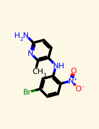 Cc1nc(N)ccc1Nc1cc(Br)ccc1[N+](=O)[O-]